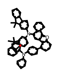 CC1(C)c2ccccc2-c2ccc(N(c3ccc4c(c3)C(C)(C)c3ccccc3-4)c3cc4c(oc5cccc(-c6ccc(N(c7ccccc7)c7ccccc7)cc6)c54)c4ccccc34)cc21